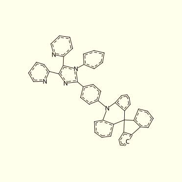 c1ccc(-n2c(-c3ccc(N4c5ccccc5C5(c6ccccc6-c6ccccc65)c5ccccc54)cc3)nc(-c3ccccn3)c2-c2ccccn2)cc1